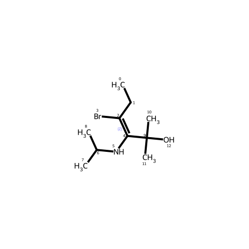 CC/C(Br)=C(/NC(C)C)C(C)(C)O